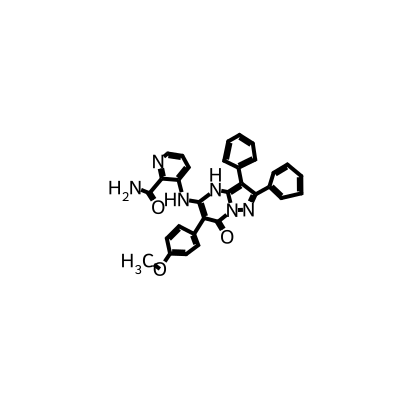 COc1ccc(-c2c(Nc3cccnc3C(N)=O)[nH]c3c(-c4ccccc4)c(-c4ccccc4)nn3c2=O)cc1